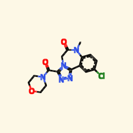 CN1C(=O)Cn2c(C(=O)N3CCOCC3)nnc2-c2cc(Cl)ccc21